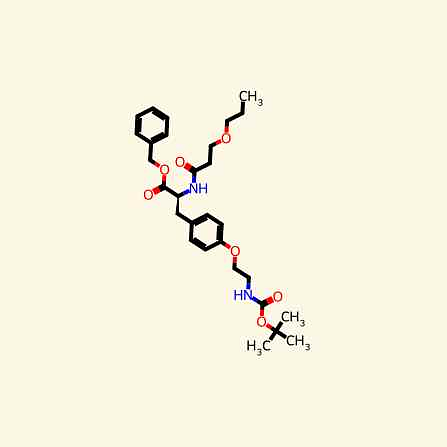 CCCOCCC(=O)N[C@@H](Cc1ccc(OCCNC(=O)OC(C)(C)C)cc1)C(=O)OCc1ccccc1